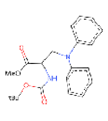 COC(=O)C(CN(c1ccccc1)c1ccccc1)NC(=O)OC(C)(C)C